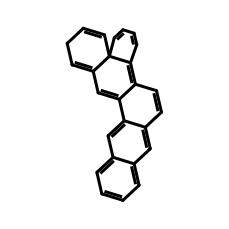 C1=CC2=c3ccc4cc5ccccc5cc4c3=CC3=CCC=CC32C=C1